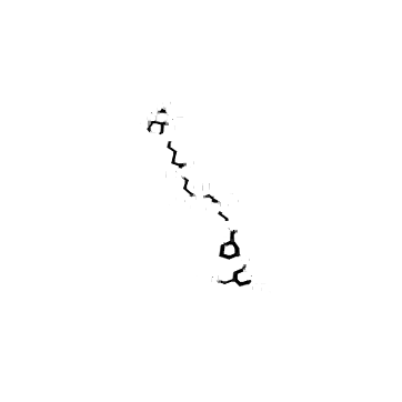 CC(C)(CCNC(=O)CCCC[C@@H]1SC[C@@H]2NC(=O)N[C@@H]21)OCC(C)(C)OCCNC(=O)c1cccc(Oc2cc(CN)cc(C(F)(F)F)n2)c1